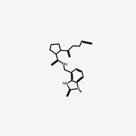 C=CCCC(=C)C1CCCC1C(=C)NCc1cccc2c1NC(=C)N2C